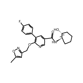 Cc1cc(COc2ncc(C(=O)N[C@@H]3CCCC[C@H]3O)cc2-c2ccc(F)cc2)no1